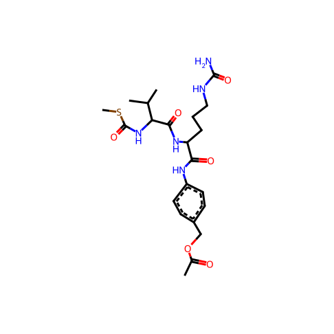 CSC(=O)NC(C(=O)NC(CCCNC(N)=O)C(=O)Nc1ccc(COC(C)=O)cc1)C(C)C